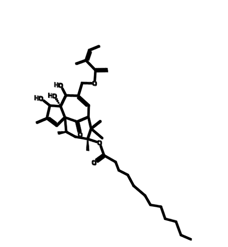 C=C(OCC1=CC2C(=O)C3(C=C(C)C(O)[C@@]3(O)C1O)[C@H](C)C[C@@](C)(OC(=O)CCCCCCCCCCC)C2(C)C)/C(C)=C\C